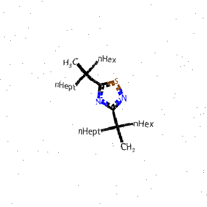 CCCCCCCC(C)(CCCCCC)c1nsc(C(C)(CCCCCC)CCCCCCC)n1